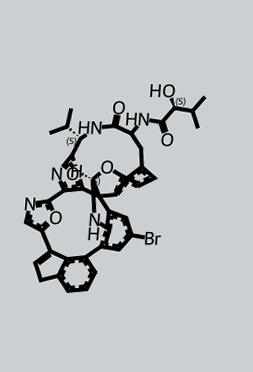 CC(C)[C@H](O)C(=O)NC1Cc2ccc3c(c2)C24c5cc(Br)cc(c5N[C@H]2O3)-c2cccc3c2C(=CC3)c2cnc(o2)-c2nc(oc24)[C@H](C(C)C)NC1=O